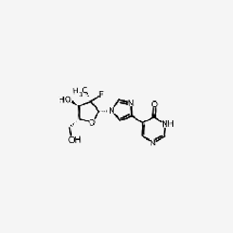 C[C@@]1(F)[C@H](O)[C@@H](CO)O[C@H]1n1cnc(-c2cnc[nH]c2=O)c1